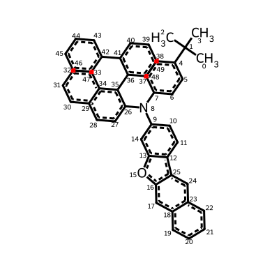 CC(C)(C)c1ccc(N(c2ccc3c(c2)oc2cc4ccccc4cc23)c2ccc3ccccc3c2-c2ccccc2-c2ccccc2)cc1